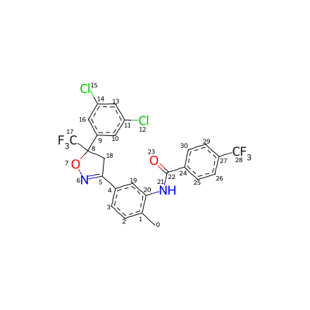 Cc1ccc(C2=NOC(c3cc(Cl)cc(Cl)c3)(C(F)(F)F)C2)cc1NC(=O)c1ccc(C(F)(F)F)cc1